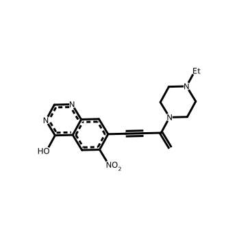 C=C(C#Cc1cc2ncnc(O)c2cc1[N+](=O)[O-])N1CCN(CC)CC1